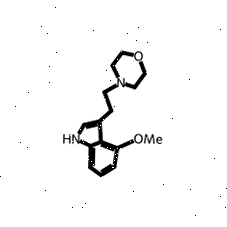 COc1cccc2[nH]cc(CCN3CCOCC3)c12